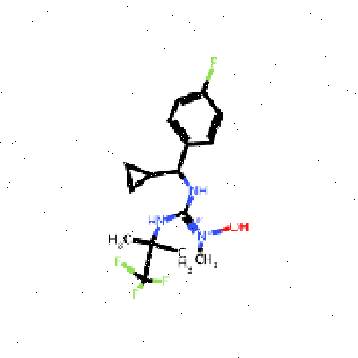 C/[N+](O)=C(/NC(c1ccc(F)cc1)C1CC1)NC(C)(C)C(F)(F)F